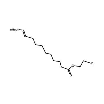 CCCCCCCC=CCCCCCCCCC(=O)OCCC(C)C